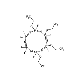 FC(F)(F)COP1(F)=NP(F)(F)=NP(F)(F)=NP(F)(OCC(F)(F)F)=NP(F)(OCC(F)(F)F)=NP(F)(OCC(F)(F)F)=N1